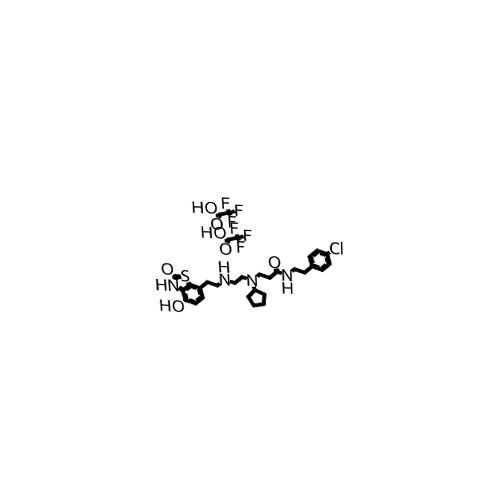 O=C(CCN(CCNCCc1ccc(O)c2[nH]c(=O)sc12)C1CCCC1)NCCc1ccc(Cl)cc1.O=C(O)C(F)(F)F.O=C(O)C(F)(F)F